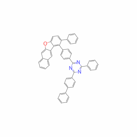 c1ccc(-c2ccc(-c3nc(-c4ccccc4)nc(-c4ccc(-c5c(-c6ccccc6)ccc6oc7cc8ccccc8cc7c56)cc4)n3)cc2)cc1